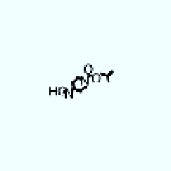 CC(C)COC(=O)N1CCC(=NO)CC1